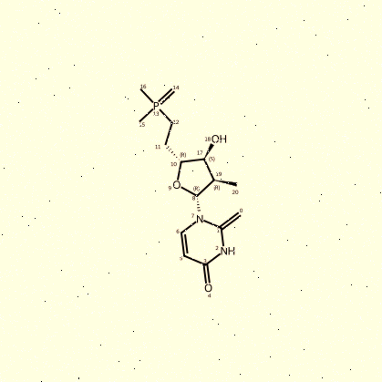 C=C1NC(=O)C=CN1[C@@H]1O[C@H](CCP(=C)(C)C)[C@@H](O)[C@H]1C